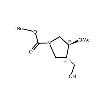 CO[C@@H]1CN(C(=O)OC(C)(C)C)C[C@H]1CO